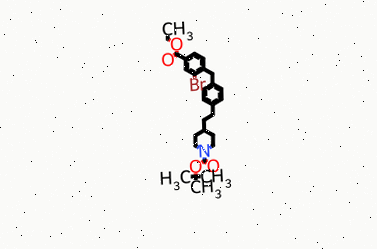 CCOC(=O)c1ccc(Cc2ccc(CCC3CCN(C(=O)OC(C)(C)C)CC3)cc2)c(Br)c1